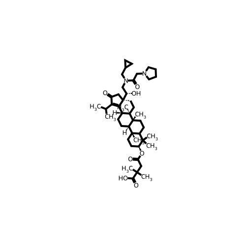 CC(C)C1=C2[C@H]3CC[C@@H]4[C@@]5(C)CC[C@H](OC(=O)CC(C)(C)C(=O)O)C(C)(C)C5CC[C@@]4(C)[C@]3(C)CC[C@@]2([C@@H](O)CN(CC2CC2)C(=O)CN2CCCC2)CC1=O